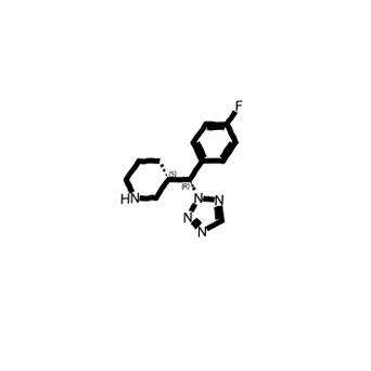 Fc1ccc([C@@H]([C@H]2CCCNC2)n2ncnn2)cc1